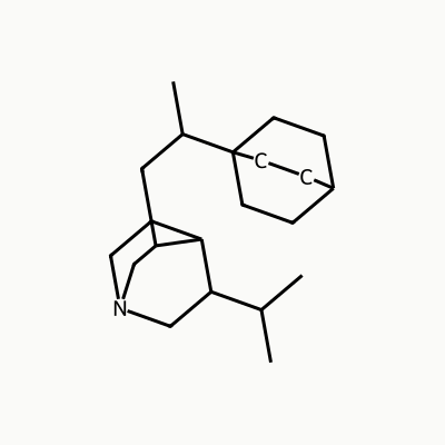 CC(C)C1CN2CCC1C(CC(C)C13CCC(CC1)CC3)C2